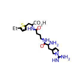 CCc1ccc(CC(NC(=O)CCCNC(=O)C(N)CC2=CCN(C(=N)N)C2)C(=O)O)s1